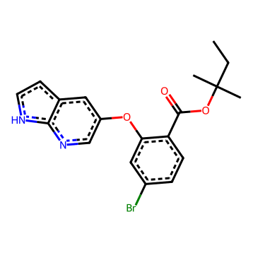 CCC(C)(C)OC(=O)c1ccc(Br)cc1Oc1cnc2[nH]ccc2c1